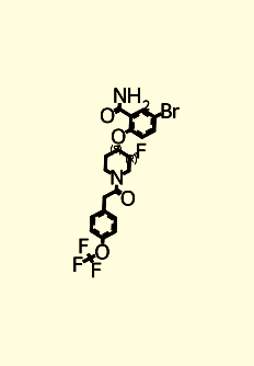 NC(=O)c1cc(Br)ccc1O[C@H]1CCN(C(=O)Cc2ccc(OC(F)(F)F)cc2)C[C@H]1F